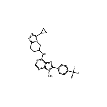 Cn1c(-c2ccc(C(F)(F)F)cc2)nc2c(NC3CCc4nnc(C5CC5)n4C3)ncnc21